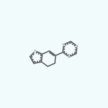 C1=C(c2ncncn2)CCc2ccoc21